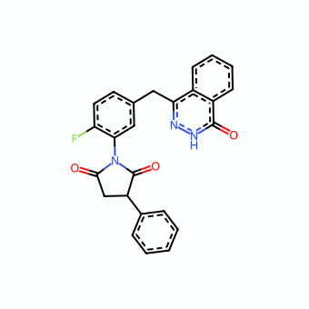 O=C1CC(c2ccccc2)C(=O)N1c1cc(Cc2n[nH]c(=O)c3ccccc23)ccc1F